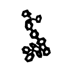 c1ccc(N(c2ccccc2)c2cccc(-c3ccc(-c4ccc5c(c4)C4(c6ccccc6-5)c5ccccc5C(c5ccccc5)(c5ccccc5)c5ccccc54)cc3)c2)cc1